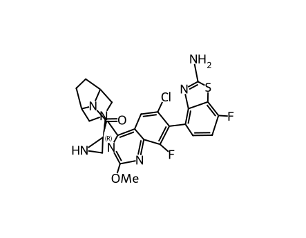 COc1nc(N2CC3CCC(C2)N3C(=O)[C@H]2CN2)c2cc(Cl)c(-c3ccc(F)c4sc(N)nc34)c(F)c2n1